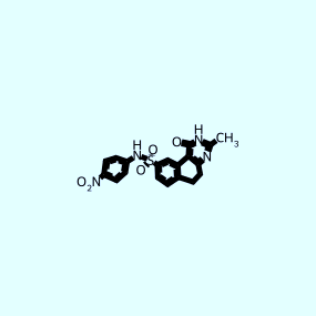 Cc1nc2c(c(=O)[nH]1)-c1cc(S(=O)(=O)Nc3ccc([N+](=O)[O-])cc3)ccc1CC2